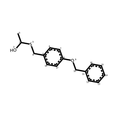 CC(O)SCc1ccc(OCc2ccccc2)cc1